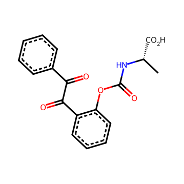 C[C@H](NC(=O)Oc1ccccc1C(=O)C(=O)c1ccccc1)C(=O)O